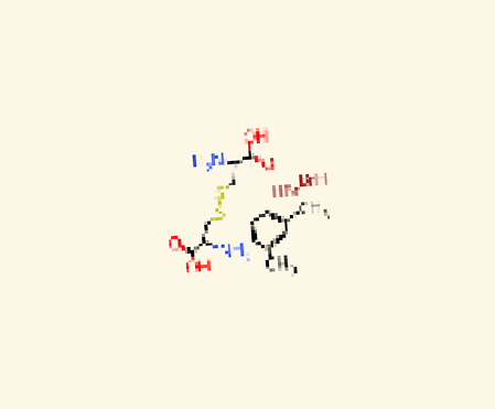 Br.Br.Cc1cccc(C)c1.NC(CSSCC(N)C(=O)O)C(=O)O